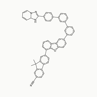 CC1(C)c2cc(C#N)ccc2-c2ccc(-c3cccc4c3oc3ccc(-c5cccc(-c6cccc(-c7ccc(C8=NN9C=CC=CC9N8)cc7)c6)c5)cc34)cc21